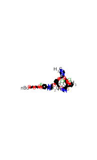 CCCCOCCOCCOO[C@@]1(F)CC=C(c2nccc(COc3ccc4cc3C[C@H](C(=O)O)Oc3ncnc5sc(C6=CCCC6)c(c35)-c3c(C)c(Cl)c(c(Cl)c3C)O[C@H](CN3CCN(C)CC3)CO4)n2)CC1